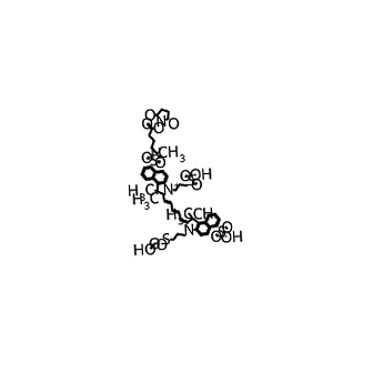 CN(CCCC(=O)ON1C(=O)CCC1=O)S(=O)(=O)c1cccc2c3c(ccc12)[N+](CCCS(=O)(=O)O)=C(/C=C/C=C/C=C1/N(CCCSOOO)c2ccc4c(S(=O)(=O)O)cccc4c2C1(C)C)C3(C)C